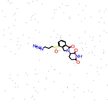 [N-]=[N+]=NCCC[S+]([O-])c1cccc2c1CN(C1CCC(=O)NC1=O)C2=O